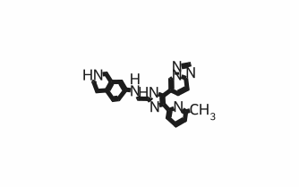 Cc1cccc(-c2nc(CNc3ccc4c(c3)CNCC4)[nH]c2-c2ccc3ncnn3c2)n1